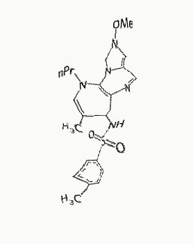 CCCN1C=C(C)C(NS(=O)(=O)c2ccc(C)cc2)C2=C1N1CN(OC)C=C1C=N2